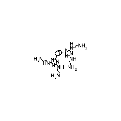 NCCNc1nc(NCCN)nc(C2CC3CC(c4nc(NCCN)nc(NCCN)n4)C2C3)n1